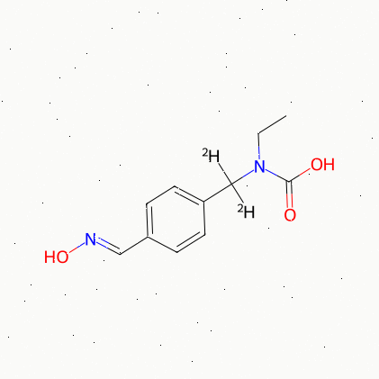 [2H]C([2H])(c1ccc(C=NO)cc1)N(CC)C(=O)O